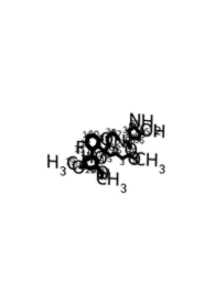 COCCCC[C@](O)(c1cccc(F)c1-c1cc(OC)cc(OC)c1)[C@H]1CN(C(=O)[C@H]2C[C@@H](N)[C@@H](O)C2)CCO1